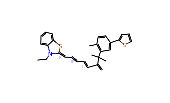 C=C(/C=C/C=C/C=C1\Sc2ccccc2N1CC)C(C)(C)c1cc(-c2cccs2)ccc1C